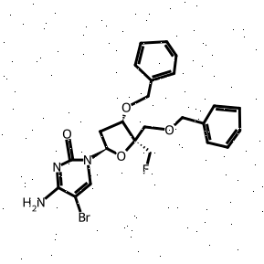 Nc1nc(=O)n([C@H]2C[C@H](OCc3ccccc3)[C@@](CF)(COCc3ccccc3)O2)cc1Br